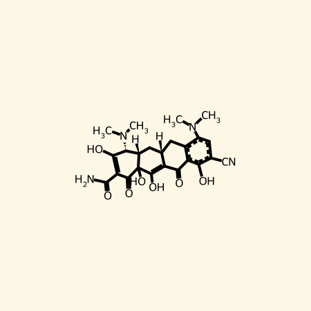 CN(C)c1cc(C#N)c(O)c2c1C[C@H]1C[C@H]3[C@@H](N(C)C)C(O)=C(C(N)=O)C(=O)C3(O)C(O)=C1C2=O